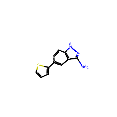 Nc1n[nH]c2ccc(-c3cccs3)cc12